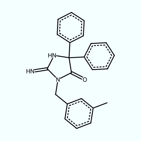 Cc1cccc(CN2C(=N)NC(c3ccccc3)(c3ccccc3)C2=O)c1